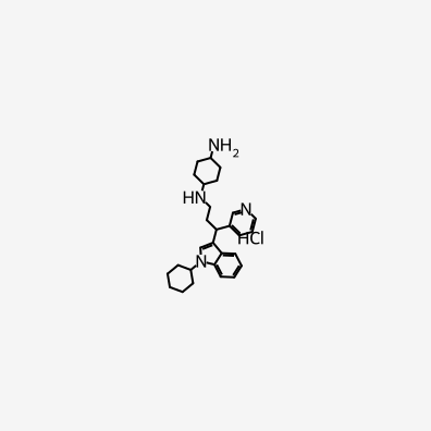 Cl.NC1CCC(NCCC(c2cccnc2)c2cn(C3CCCCC3)c3ccccc23)CC1